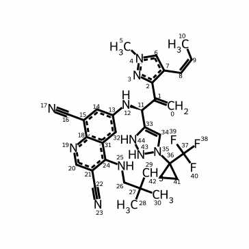 C=C(c1nn(C)cc1/C=C\C)[C@H](Nc1cc(C#N)c2ncc(C#N)c(NCC(C)(C)C)c2c1)C1=CN(C2(C(F)(F)F)CC2)NN1